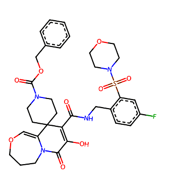 O=C(NCc1ccc(F)cc1S(=O)(=O)N1CCOCC1)C1=C(O)C(=O)N2CCCOC=C2C12CCN(C(=O)OCc1ccccc1)CC2